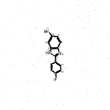 Fc1ccc(-c2nc3ccc(Br)cc3[nH]2)cc1